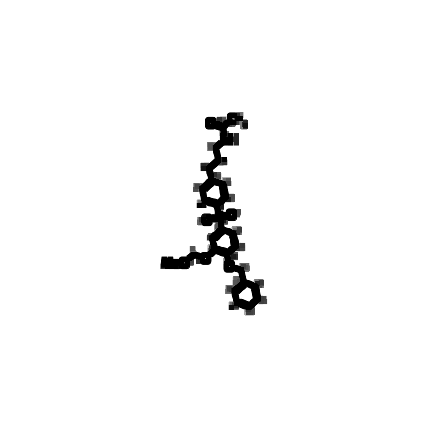 COCOc1cc(S(=O)(=O)c2ccc(CCCNC(=O)C(F)(F)F)cc2)ccc1OCc1ccccc1